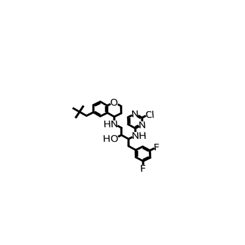 CC(C)(C)Cc1ccc2c(c1)C(NCC(O)C(Cc1cc(F)cc(F)c1)Nc1ccnc(Cl)n1)CCO2